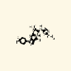 Cc1nnc(NC(=O)C(C)Sc2nc3c(cnn3C3CCC(F)(F)CC3)c(=O)[nH]2)s1